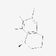 Cc1c(C(=O)O)c(F)cc2c1[C@H](N)CCC2.Cl